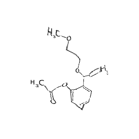 COCCOC(C)c1ccccc1OC(C)=O